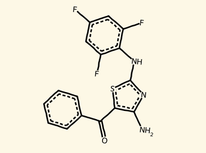 Nc1nc(Nc2c(F)cc(F)cc2F)sc1C(=O)c1ccccc1